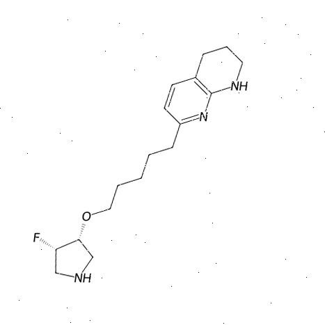 F[C@H]1CNC[C@H]1OCCCCCc1ccc2c(n1)NCCC2